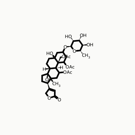 CC(=O)OC[C@]12C(OC(C)=O)CC(O[C@@H]3O[C@@H](C)[C@H](O)[C@@H](O)[C@H]3O)CC1(O)CC[C@@H]1[C@@H]2C(OC(C)=O)C[C@]2(C)[C@@H](C3=CC(=O)OC3)CC[C@]12O